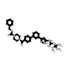 CC(C)(C)OC(=O)Nc1cc(-c2cccc(-c3ccc(C(=O)N4CCN(C(=O)OCc5ccccc5)CC4)cc3)c2)n[nH]1